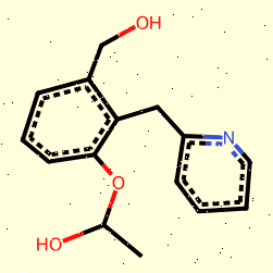 CC(O)Oc1cccc(CO)c1Cc1ccccn1